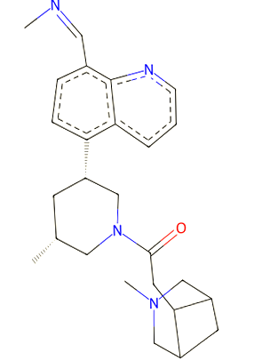 C/N=C\c1ccc([C@H]2C[C@@H](C)CN(C(=O)CC3C4CC3CN(C)C4)C2)c2cccnc12